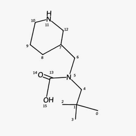 CC(C)(C)CN(CC1CCCNC1)C(=O)O